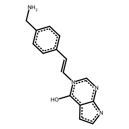 NCc1ccc(C=Cn2cnc3nccc-3c2O)cc1